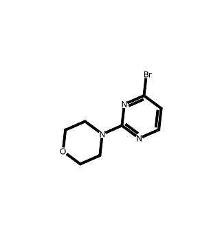 Brc1ccnc(N2CCOCC2)n1